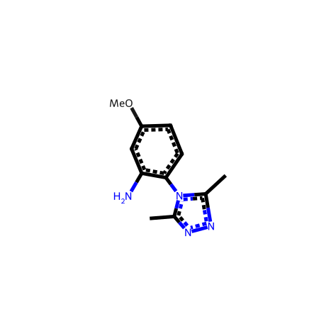 COc1ccc(-n2c(C)nnc2C)c(N)c1